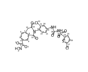 NS(=O)(=O)c1ccc2c(c1)C(=O)N(c1ccc(NC(=O)NS(=O)(=O)c3ccc(Cl)s3)cc1Cl)C(=O)C2